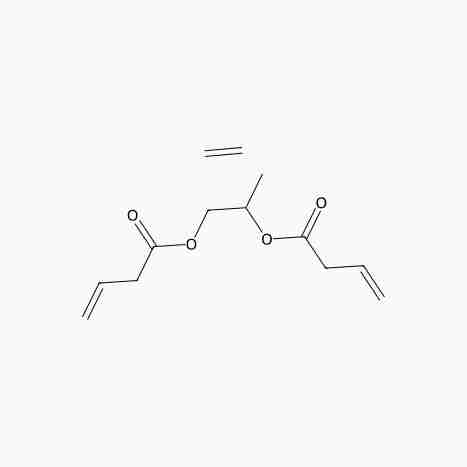 C=C.C=CCC(=O)OCC(C)OC(=O)CC=C